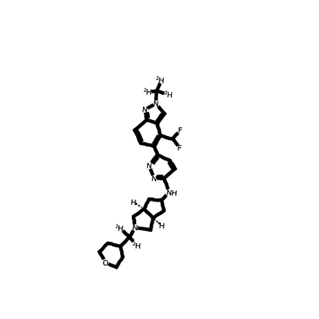 [2H]C([2H])(C1CCOCC1)N1C[C@H]2CC(Nc3ccc(-c4ccc5nn(C([2H])([2H])[2H])cc5c4C(F)F)nn3)C[C@H]2C1